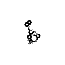 Cc1c2c(nn1C)COCc1cccnc1Cn1c(C(=O)O)c(CCCOc3cccc4ccccc34)c3ccc(Cl)c-2c31